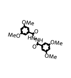 COc1cc(OC)cc(C(=O)NNC(=O)c2cc(OC)cc(OC)c2)c1